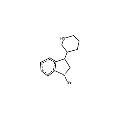 CC(C)N1CC(C2CCCNC2)c2ccccc21